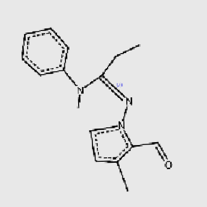 CC/C(=N/n1ccc(C)c1C=O)N(C)c1ccccc1